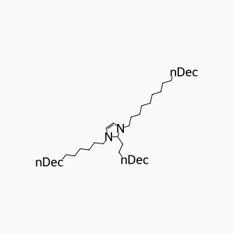 CCCCCCCCCCCCCCCCCCCN1C=CN(CCCCCCCCCCCCCCCC)C1CCCCCCCCCCCC